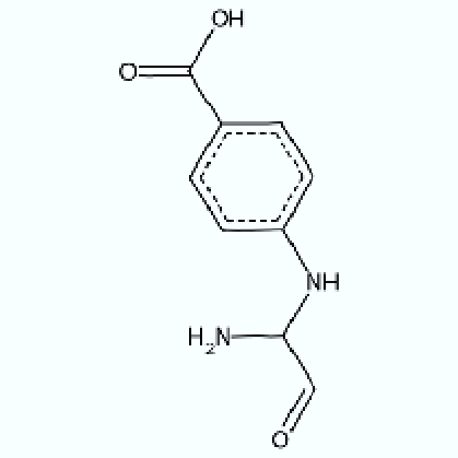 NC(C=O)Nc1ccc(C(=O)O)cc1